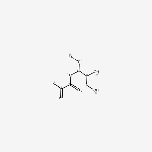 C=C(C)C(=O)OC(OCC)C(O)CO